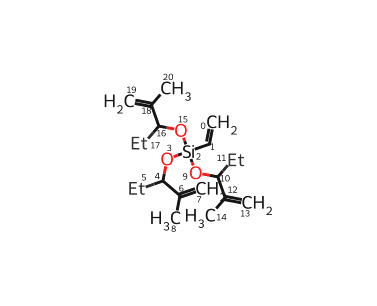 C=C[Si](OC(CC)C(=C)C)(OC(CC)C(=C)C)OC(CC)C(=C)C